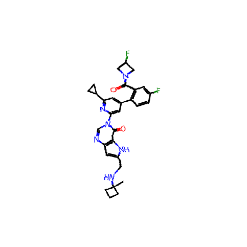 CC1(NCc2cc3ncn(-c4cc(-c5ccc(F)cc5C(=O)N5CC(F)C5)cc(C5CC5)n4)c(=O)c3[nH]2)CCC1